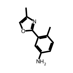 Cc1coc(-c2cc(N)ccc2C)n1